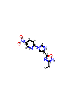 CCc1noc(-c2cn(-c3ccc([N+](=O)[O-])cn3)cn2)n1